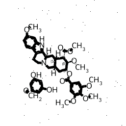 C=O.COC(=O)[C@H]1[C@H]2C[C@@H]3c4[nH]c5cc(OC)ccc5c4CCN3C[C@H]2C[C@@H](OC(=O)c2cc(OC)c(OC)c(OC)c2)[C@@H]1OC.Oc1cccc(O)c1